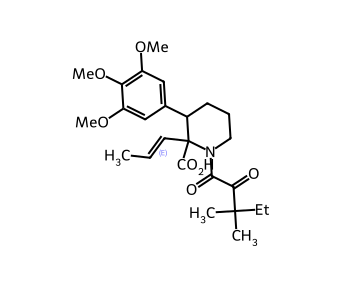 C/C=C/C1(C(=O)O)C(c2cc(OC)c(OC)c(OC)c2)CCCN1C(=O)C(=O)C(C)(C)CC